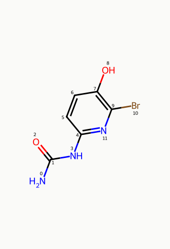 NC(=O)Nc1ccc(O)c(Br)n1